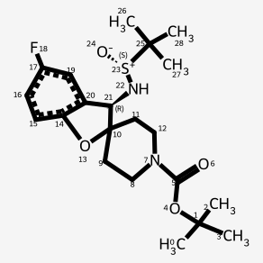 CC(C)(C)OC(=O)N1CCC2(CC1)Oc1ccc(F)cc1[C@H]2N[S@+]([O-])C(C)(C)C